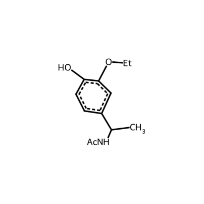 CCOc1cc(C(C)NC(C)=O)ccc1O